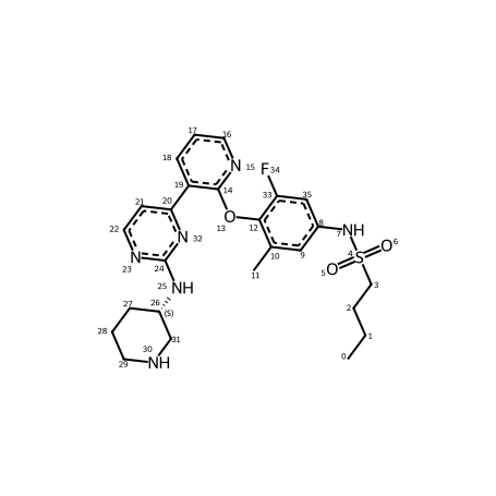 CCCCS(=O)(=O)Nc1cc(C)c(Oc2ncccc2-c2ccnc(N[C@H]3CCCNC3)n2)c(F)c1